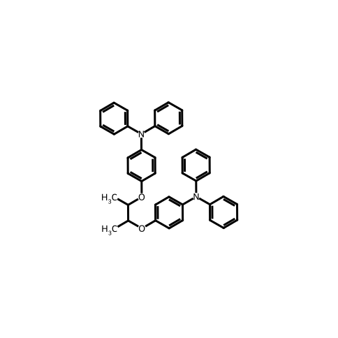 CC(Oc1ccc(N(c2ccccc2)c2ccccc2)cc1)C(C)Oc1ccc(N(c2ccccc2)c2ccccc2)cc1